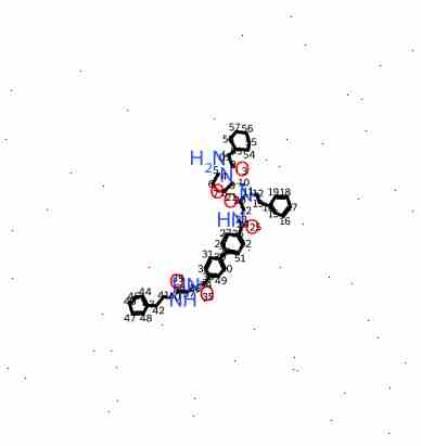 N[C@H](C(=O)N1CCOC[C@H]1CN(CCc1ccccc1)C(=O)CNC(=O)c1ccc(-c2ccc(C(=O)NCC(=O)NCCc3ccccc3)cc2)cc1)C1CCCCC1